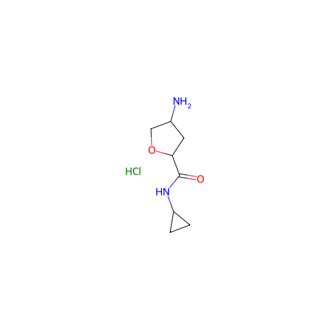 Cl.NC1COC(C(=O)NC2CC2)C1